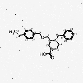 CSc1ccc(COC[C@@H]2CN(C(=O)O)CCN2Cc2ccccc2)cc1